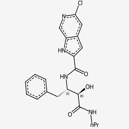 CCCNC(=O)[C@H](O)[C@H](Cc1ccccc1)NC(=O)c1cc2cc(Cl)ncc2[nH]1